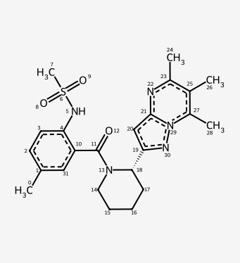 Cc1ccc(NS(C)(=O)=O)c(C(=O)N2CCCC[C@H]2c2cc3nc(C)c(C)c(C)n3n2)c1